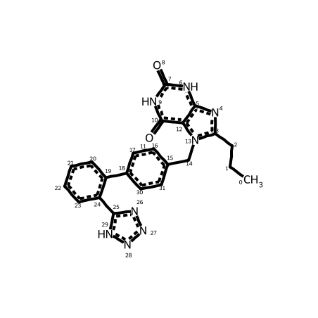 CCCc1nc2[nH]c(=O)[nH]c(=O)c2n1Cc1ccc(-c2ccccc2-c2nnn[nH]2)cc1